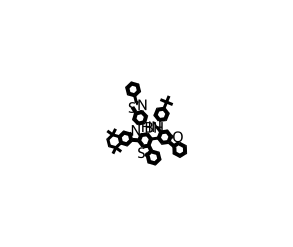 CC(C)(C)c1ccc(Nc2cc3oc4ccccc4c3cc2-c2c3c4c(c5cc6c(cc5n4-c4cc5sc(-c7ccccc7)nc5cc4B3)C(C)(C)CCC6(C)C)c3sc4ccccc4c23)cc1